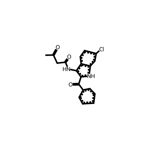 CC(=O)CC(=O)Nc1c(C(=O)c2ccccc2)[nH]c2cc(Cl)ccc12